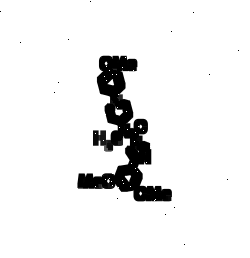 COc1ccc(N2CCC(N(C)C(=O)n3cnc(-c4cc(OC)cc(OC)c4)c3)CC2)cc1